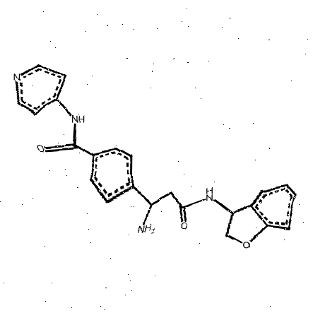 NC(CC(=O)NC1COc2ccccc21)c1ccc(C(=O)Nc2ccncc2)cc1